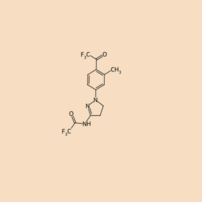 Cc1cc(N2CCC(NC(=O)C(F)(F)F)=N2)ccc1C(=O)C(F)(F)F